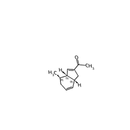 CC(=O)C1=C[C@H]2[C@H](C)CC=C[C@H]2C1